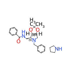 C1CCNC1.CC1(C)O[C@H]2[C@H](CN(Cc3ccccc3)[C@H]2CNC(=O)c2ccccc2)O1